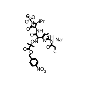 CC(C)[C@H]1[C@@H](NC(=O)C(=NOC(C)(C)C(=O)OCc2ccc([N+](=O)[O-])cc2)c2csc(NC(=O)CCl)n2)C(=O)N1S(=O)(=O)[O-].[Na+]